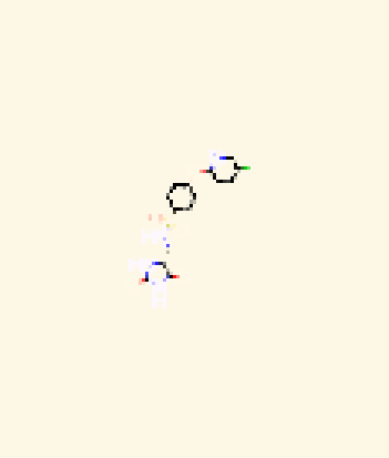 O=C1NC(=O)[C@H](CNS(=O)(=O)c2ccc(Oc3ccc(Cl)cn3)cc2)N1